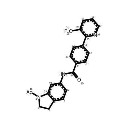 CC(=O)N1CCc2ccc(NC(=O)c3ccc(-c4ncccc4C(F)(F)F)cc3)cc21